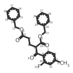 Cc1ccc(C(=O)C(CCC(=O)OCc2ccccc2)C(=O)OCc2ccccc2)c(F)c1